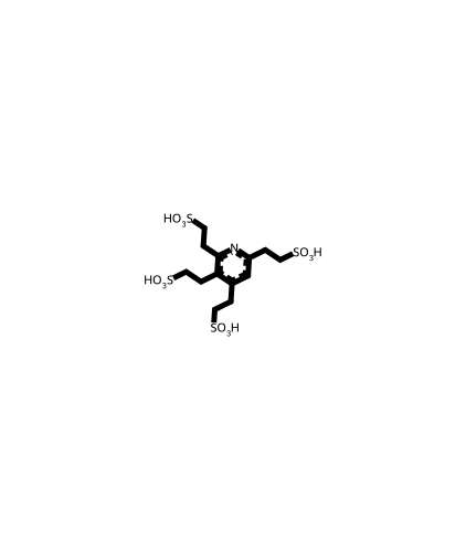 O=S(=O)(O)CCc1cc(CCS(=O)(=O)O)c(CCS(=O)(=O)O)c(CCS(=O)(=O)O)n1